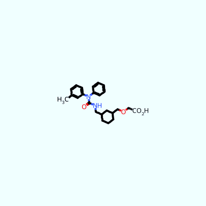 Cc1cccc(N(C(=O)NCC2CCCC(COCC(=O)O)C2)c2ccccc2)c1